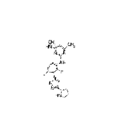 CNc1cc(C)nc(Nc2ccc(F)c(-n3cc([C@H]4CCCN4)nn3)c2F)n1